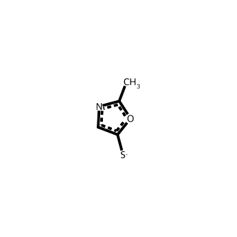 Cc1ncc([S])o1